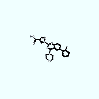 Cc1ccccc1-c1ccc2nc(-n3cc(C(=O)O)cn3)nc(N3CCOCC3)c2c1